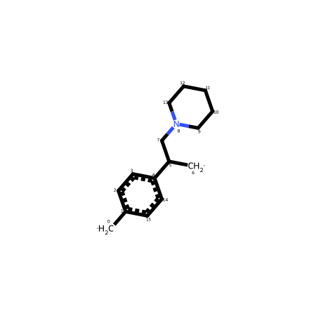 [CH2]c1ccc(C([CH2])CN2CCCCC2)cc1